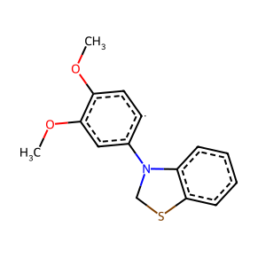 COc1c[c]c(N2CSc3ccccc32)cc1OC